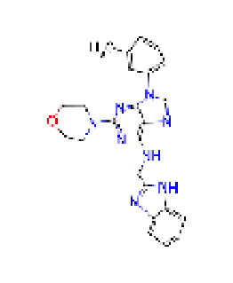 Cc1cccc(-n2cnc3c(NCc4nc5ccccc5[nH]4)nc(N4CCOCC4)nc32)c1